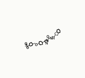 CS(=O)(=O)c1ccc(COc2ccc(-c3cn(C(=O)NCCC4Cc5ccccc5C4)cn3)cc2)cc1